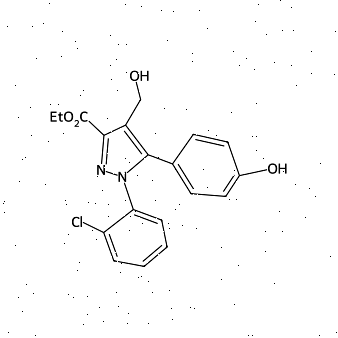 CCOC(=O)c1nn(-c2ccccc2Cl)c(-c2ccc(O)cc2)c1CO